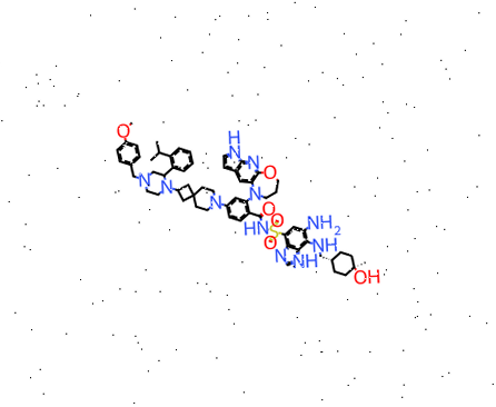 COc1ccc(CN2CCN(C3CC4(CCN(c5ccc(C(=O)NS(=O)(=O)c6cc(N)c(NC[C@H]7CC[C@](C)(O)CC7)c7[nH]cnc67)c(N6CCCOc7nc8[nH]ccc8cc76)c5)CC4)C3)C(c3ccccc3C(C)C)C2)cc1